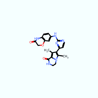 Cc1c(-c2ccnc(Nc3ccc4c(c3)OCC(=O)N4)n2)c(C)n2c1C(=O)NCC2